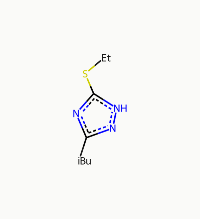 CCSc1nc(C(C)CC)n[nH]1